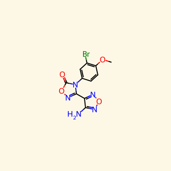 COc1ccc(-n2c(-c3nonc3N)noc2=O)cc1Br